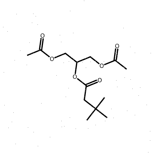 CC(=O)OCC(COC(C)=O)OC(=O)CC(C)(C)C